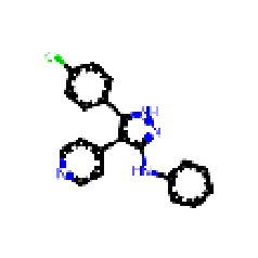 Clc1ccc(-c2[nH]nc(Nc3ccccc3)c2-c2ccncc2)cc1